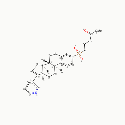 COC(=O)CCCS(=O)(=O)c1ccc2c(c1)CC[C@@H]1[C@@H]2CC[C@]2(C)C(c3cccnc3)=CC[C@@H]12